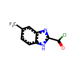 O=C(Cl)c1nc2cc(C(F)(F)F)ccc2[nH]1